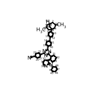 C[C@@H]1C[C@@H]2C[C@H](C)CC(c3ccc(-c4ccc(-c5nc(-c6ccc(C#N)cc6)nc(-c6cccc7c6c6cccnc6n7-c6ccccc6)n5)cc4)cc3)(C1)C2